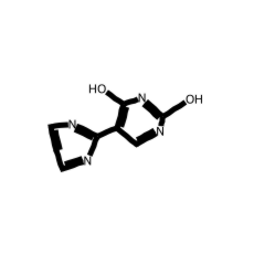 Oc1ncc(-c2ncccn2)c(O)n1